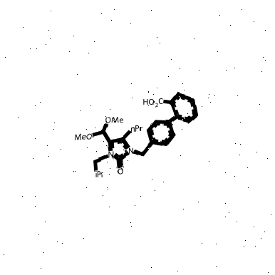 CCCc1c(C(OC)OC)n(CC(C)C)c(=O)n1Cc1ccc(-c2ccccc2C(=O)O)cc1